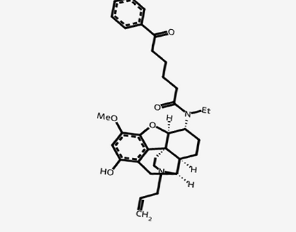 C=CCN1CC[C@]23c4c5c(O)cc(OC)c4O[C@H]2[C@H](N(CC)C(=O)CCCCC(=O)c2ccccc2)CC[C@H]3[C@H]1C5